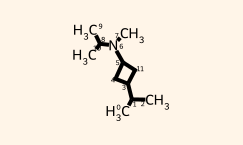 CC(C)C1CC(N(C)C(C)C)C1